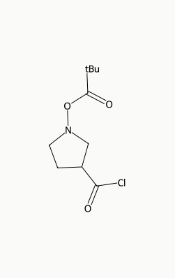 CC(C)(C)C(=O)ON1CCC(C(=O)Cl)C1